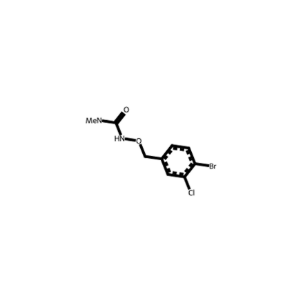 CNC(=O)NOCc1ccc(Br)c(Cl)c1